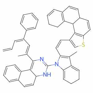 C=C/C=C(\C=C(/C)C1=C2c3ccccc3C=CC2NC(n2c(/C=C\c3csc4c3C3C5=C(C=CCC5)C=CC3C=C4)c(C)c3c2=CCCC=3)=N1)c1ccccc1